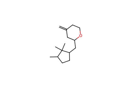 C=C1CCOC(CC2CCC(C)C2(C)C)C1